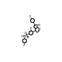 O=S(=O)(Nc1ccc(F)cc1)c1ccc(-c2ncnc3[nH]c(-c4ccc(F)cc4)cc23)c(F)c1